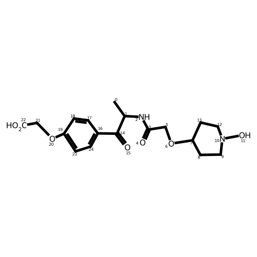 CC(NC(=O)COC1CCN(O)CC1)C(=O)c1ccc(OCC(=O)O)cc1